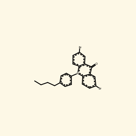 CCCCc1ccc(-n2c3ccc(Br)cc3c(=O)c3cc(Br)ccc32)cc1